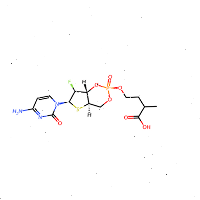 CC(CCO[P@@]1(=O)OC[C@H]2S[C@@H](n3ccc(N)nc3=O)[C@@H](F)[C@@H]2O1)C(=O)O